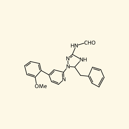 COc1ccccc1-c1ccnc(N2N=C(NC=O)NC2Cc2ccccc2)c1